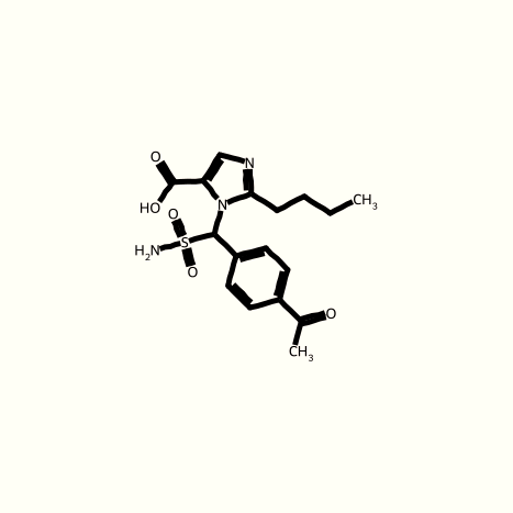 CCCCc1ncc(C(=O)O)n1C(c1ccc(C(C)=O)cc1)S(N)(=O)=O